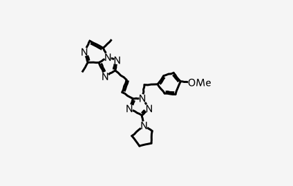 COc1ccc(Cn2nc(N3CCCC3)nc2/C=C/c2nc3c(C)ncc(C)n3n2)cc1